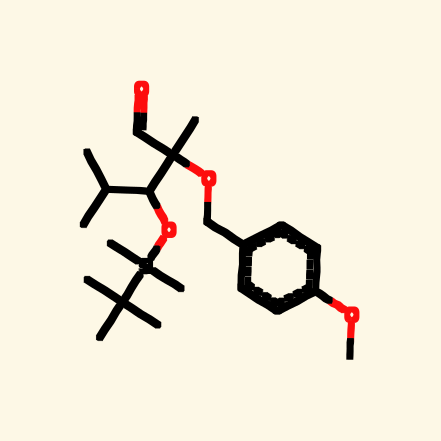 COc1ccc(COC(C)(C=O)C(O[Si](C)(C)C(C)(C)C)C(C)C)cc1